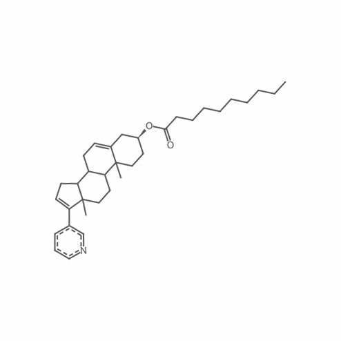 CCCCCCCCCC(=O)O[C@H]1CCC2(C)C(=CCC3C2CCC2(C)C(c4cccnc4)=CCC32)C1